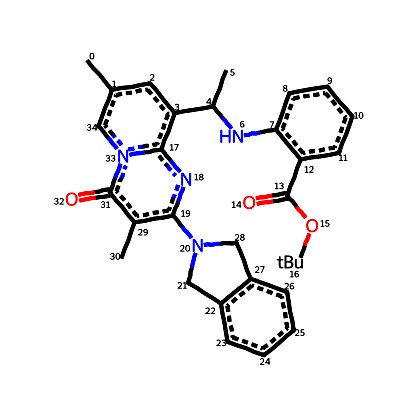 Cc1cc(C(C)Nc2ccccc2C(=O)OC(C)(C)C)c2nc(N3Cc4ccccc4C3)c(C)c(=O)n2c1